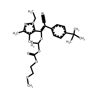 CCn1nc(C)c(C)c1/C(OC(C)OC(=O)OCCOC)=C(\C#N)c1ccc(C(C)(C)C)cc1